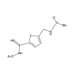 CC(=O)ONC(=N)c1ccc(CN[S+]([O-])C(C)(C)C)s1